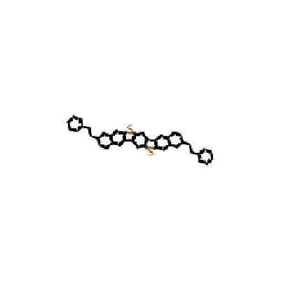 c1ccc(CCc2ccc3cc4c(cc3c2)sc2cc3c(cc24)sc2cc4cc(CCc5ccccc5)ccc4cc23)cc1